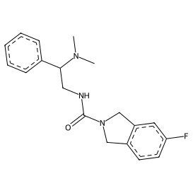 CN(C)C(CNC(=O)N1Cc2ccc(F)cc2C1)c1ccccc1